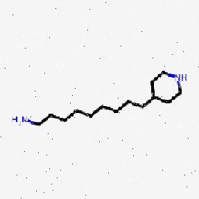 NCCCCCCCCCC1CCNCC1